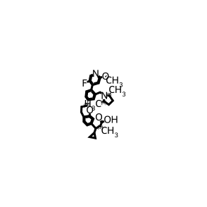 COc1cc(-c2ccc([C@H]3CCc4ccc(C(C5CC5)[C@H](C)C(=O)O)cc4O3)cc2CN2[C@H](C)CC[C@H]2C)c(F)cn1